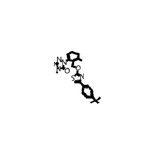 Cc1cccc(-n2nnn(C)c2=O)c1COc1nc(-c2ccc(C(C)(C)C)cc2)cs1